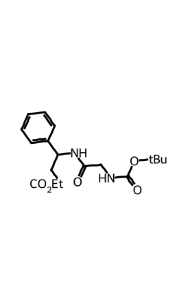 CCOC(=O)CC(NC(=O)CNC(=O)OC(C)(C)C)c1ccccc1